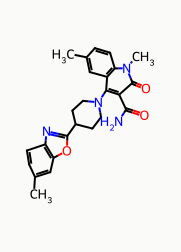 Cc1ccc2nc(C3CCN(c4c(C(N)=O)c(=O)n(C)c5ccc(C)cc45)CC3)oc2c1